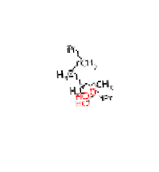 CC(C)CCCC(C)CCCC(C)CCCCC(C)CCCC(C)C(CCC(C)C)OCC(O)CO